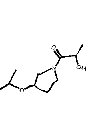 CC(C)OC1CCN(C(=O)[C@@H](C)O)C1